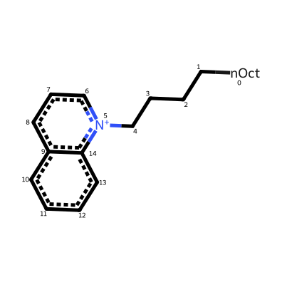 CCCCCCCCCCCC[n+]1cccc2ccccc21